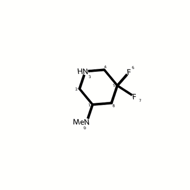 CNC1CNCC(F)(F)C1